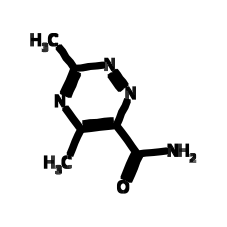 Cc1nnc(C(N)=O)c(C)n1